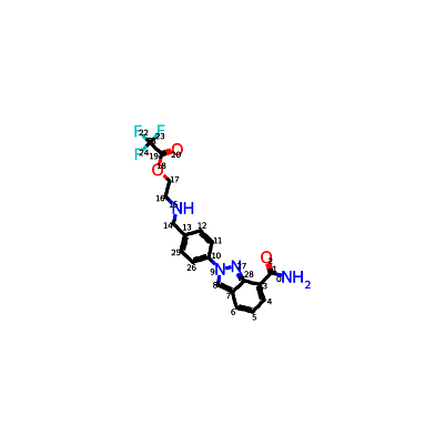 NC(=O)c1cccc2cn(-c3ccc(CNCCOC(=O)C(F)(F)F)cc3)nc12